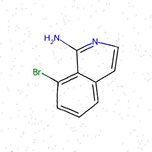 Nc1nccc2cccc(Br)c12